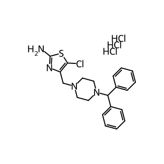 Cl.Cl.Cl.Nc1nc(CN2CCN(C(c3ccccc3)c3ccccc3)CC2)c(Cl)s1